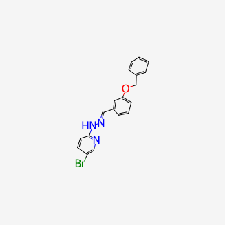 Brc1ccc(N/N=C/c2cccc(OCc3ccccc3)c2)nc1